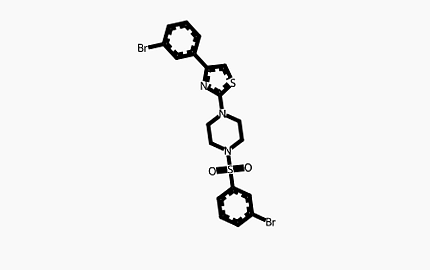 O=S(=O)(c1cccc(Br)c1)N1CCN(c2nc(-c3cccc(Br)c3)cs2)CC1